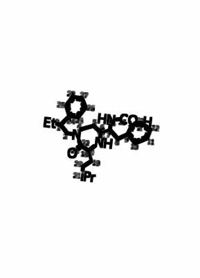 CCC(CN1CC[C@@H](C(Cc2ccccc2)NC(=O)O)N[C@@H](CCC(C)C)C1=O)c1ccccc1